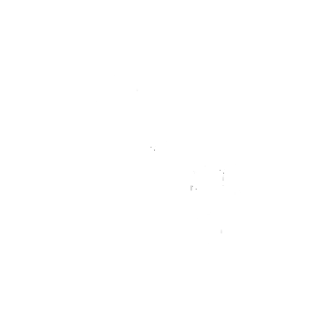 C=Cc1ccccc1OCCN1CCC(C(=O)NC(c2ccc(Cl)cc2)c2ccccn2)CC1